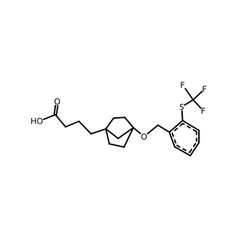 O=C(O)CCCC12CCC(OCc3ccccc3SC(F)(F)F)(CC1)C2